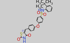 CC(C)(C)c1ccccc1NS(=O)(=O)c1ccc(Oc2ccc(/C=C3/SC(=O)NC3=O)cc2)cc1